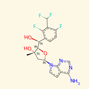 C[C@]1(O)C[C@H](n2ccc3c(N)ncnc32)O[C@@H]1[C@@H](O)c1ccc(F)c(C(F)F)c1F